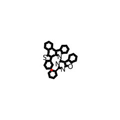 c1ccc(-c2nc(-n3c4ccccc4c4c5ccccc5c5sc6ccccc6c5c43)c3c(n2)oc2ccccc23)cc1